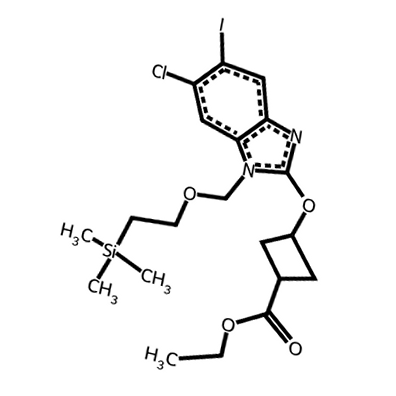 CCOC(=O)C1CC(Oc2nc3cc(I)c(Cl)cc3n2COCC[Si](C)(C)C)C1